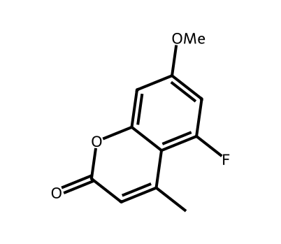 COc1cc(F)c2c(C)cc(=O)oc2c1